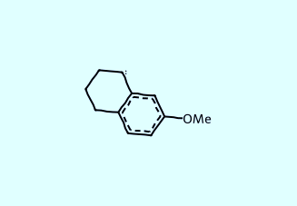 COc1ccc2c(c1)[C]CCC2